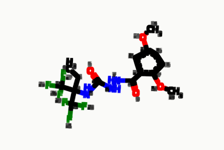 CCC(NC(=O)NNC(=O)c1cc(OC)ccc1OC)(C(F)(F)F)C(F)(F)F